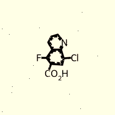 O=C(O)c1cc(Cl)c2ncccc2c1F